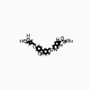 CC(C)(C)OC(=O)[C@H]1[C@@H]2Cc3cc(OCc4cc(-c5ccc(OCC6CC(O)(CO)C6)cc5Cl)c(F)cc4F)ncc3[C@@H]21